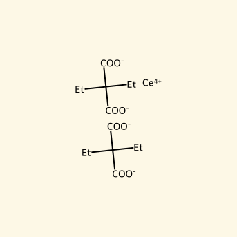 CCC(CC)(C(=O)[O-])C(=O)[O-].CCC(CC)(C(=O)[O-])C(=O)[O-].[Ce+4]